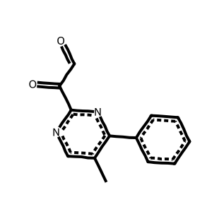 Cc1cnc(C(=O)C=O)nc1-c1ccccc1